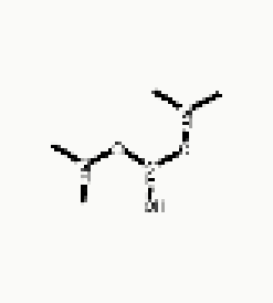 C[SiH](C)O[SiH](O)O[SiH](C)C